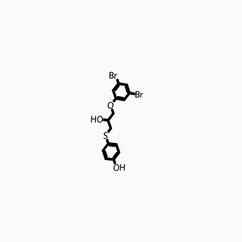 Oc1ccc(SCC(O)COc2cc(Br)cc(Br)c2)cc1